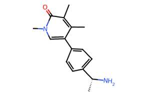 Cc1c(-c2ccc([C@@H](C)N)cc2)cn(C)c(=O)c1C